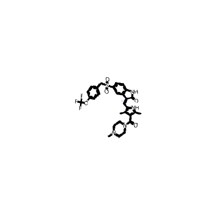 Cc1[nH]c(/C=C2\C(=O)Nc3ccc(S(=O)(=O)Cc4ccc(OC(F)(F)F)cc4)cc32)c(C)c1C(=O)N1CCN(C)CC1